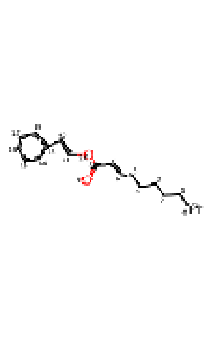 CC(C)CCCCCC=CC(=O)OC=Cc1ccccc1